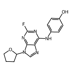 Oc1ccc(Nc2nc(F)nc3c2ncn3C2CCCO2)cc1